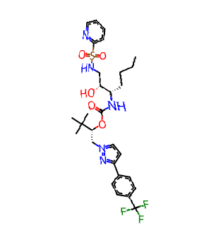 CCCC[C@H](NC(=O)O[C@H](Cn1ccc(-c2ccc(C(F)(F)F)cc2)n1)C(C)(C)C)[C@H](O)CNS(=O)(=O)c1ccccn1